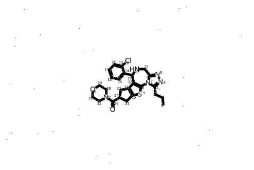 CCCc1nnc2n1-c1sc3c(c1C(c1ccccc1Cl)NC2)CC(C(=O)N1CCOCC1)C3